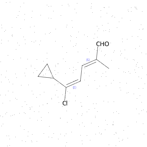 C/C(C=O)=C\C=C(\Cl)C1CC1